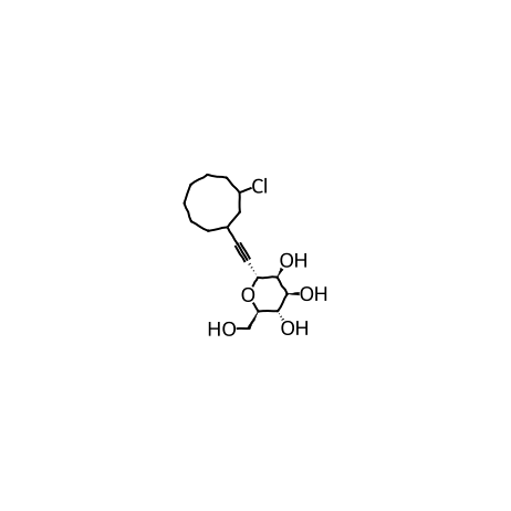 OC[C@H]1O[C@H](C#CC2CCCCCCC(Cl)C2)[C@@H](O)[C@@H](O)[C@@H]1O